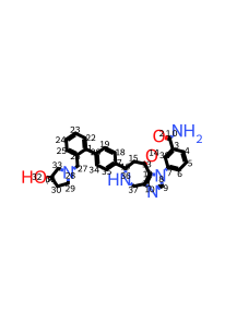 NC(=O)c1cccc(-n2cnc3c2C(=O)CC(c2ccc(-c4ccccc4CN4CC[C@@H](O)C4)cc2)NC3)c1